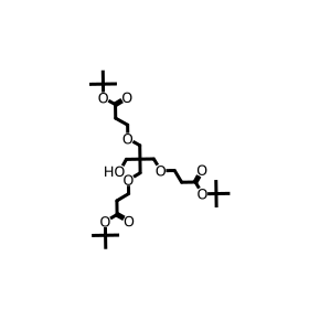 CC(C)(C)OC(=O)CCOCC(CO)(COCCC(=O)OC(C)(C)C)COCCC(=O)OC(C)(C)C